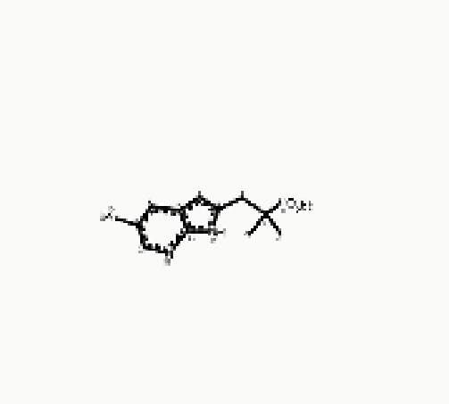 CCOC(=O)C(C)(C)Cc1cc2cc(C(C)C)cnc2[nH]1